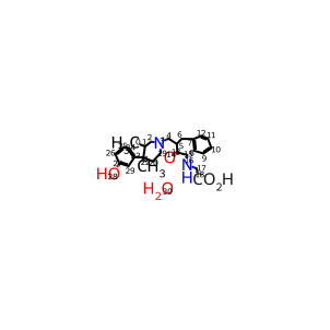 CC1CN(CC(Cc2ccccc2)C(=O)CNCC(=O)O)CCC1(C)c1cccc(O)c1.O